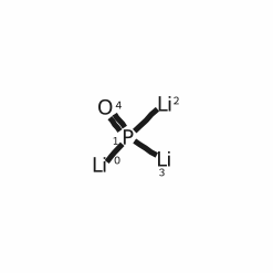 [Li][P]([Li])([Li])=O